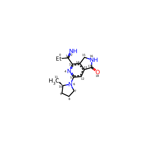 CCC(=N)c1nc(N2CCC[C@H]2C)cc2c1CNC2=O